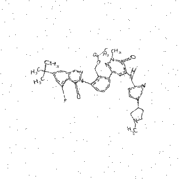 CC(=O)OCc1c(-c2cc(Nc3ccc([C@H]4CCN(C)C4)cn3)c(=O)n(C)n2)cccc1-n1ncc2cc(C(C)(C)C)cc(F)c2c1=O